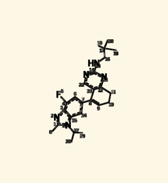 Cc1nc2c(F)cc(C3=CCCc4nc(NCC(C)(C)C)ncc43)cc2n1C(C)C